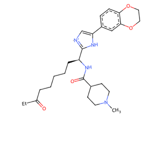 CCC(=O)CCCCC[C@H](NC(=O)C1CCN(C)CC1)C1=[N+]C=C(c2ccc3c(c2)OCCO3)N1